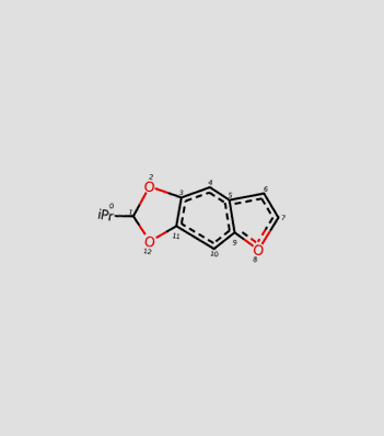 CC(C)C1Oc2cc3ccoc3cc2O1